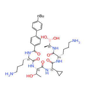 CCCCc1ccc(-c2ccc(C(=O)N[C@@H](CCCCN)C(=O)N[C@H](C(=O)N[C@H](C(=O)N[C@@H](CCCCN)C(=O)N[C@@H](C)B(O)O)C3CC3)C(C)O)cc2)cc1